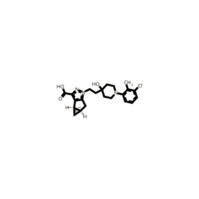 Cc1c(Cl)cccc1N1CCC(O)(CCn2nc(C(=O)O)c3c2C[C@H]2C[C@@H]32)CC1